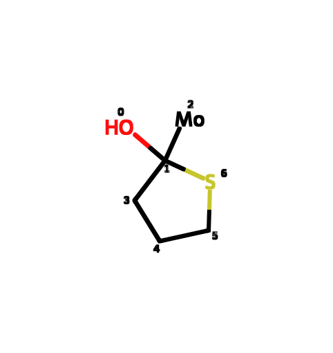 O[C]1([Mo])CCCS1